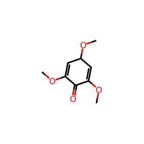 COC1=CC(OC)C=C(OC)C1=O